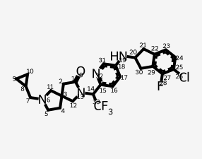 O=C1CC2(CCN(CC3CC3)C2)CN1C(c1ccc(NC2Cc3ccc(Cl)c(F)c3C2)cn1)C(F)(F)F